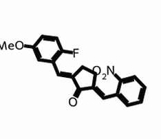 COc1ccc(F)c(/C=C2\CC/C(=C\c3ccccc3[N+](=O)[O-])C2=O)c1